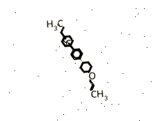 CC=CCO[C@H]1CC[C@H](c2ccc(C34CCC(CCC)(CC3)CC4)cc2)CC1